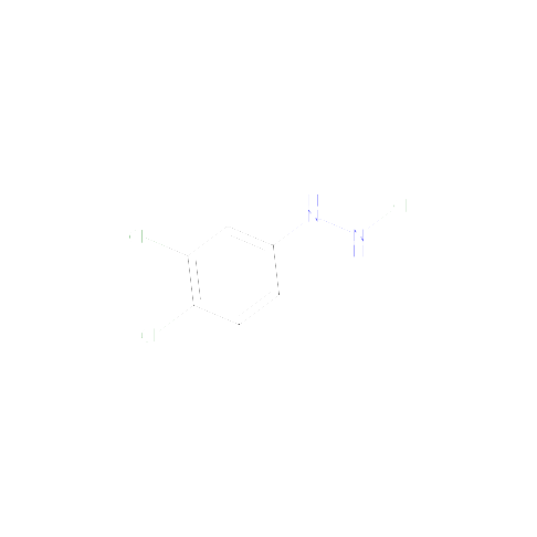 ClNNc1ccc(Cl)c(Cl)c1